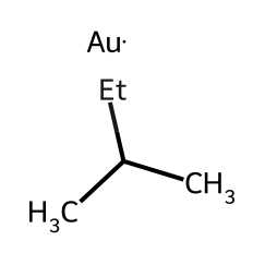 CCC(C)C.[Au]